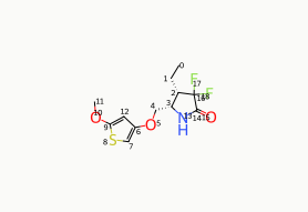 CC[C@H]1[C@@H](COc2csc(OC)c2)NC(=O)C1(F)F